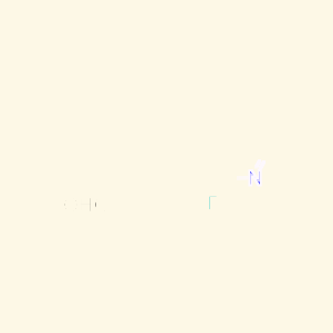 [CH2]C(c1cncc(C)c1)c1cc(C=O)ccc1F